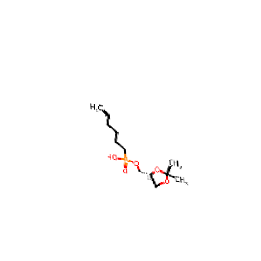 C=CCCCCP(=O)(O)OC[C@H]1COC(C)(C)O1